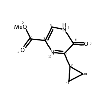 COC(=O)c1c[nH]c(=O)c(C2CC2)n1